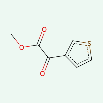 COC(=O)C(=O)c1ccsc1